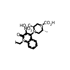 C[C@@H]1CN(c2c([N+](=O)[O-])c(=O)n(CI)c3ccccc23)[C@@H](C(=O)O)CN1C(=O)O